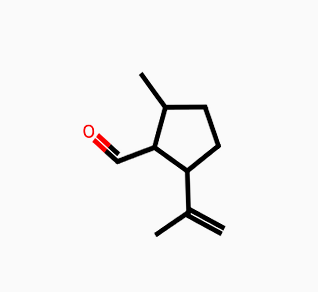 C=C(C)C1CCC(C)C1C=O